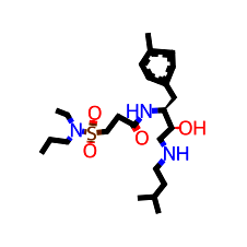 CCCN(CC)S(=O)(=O)CCC(=O)N[C@@H](Cc1ccc(C)cc1)[C@H](O)CNCCC(C)C